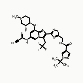 C#CC(=O)Nc1cc(N[C@@H]2CCN(C)C[C@@H]2F)c2nc(-c3noc(CNC(=O)c4cnn(C(C)(C)C)c4)n3)c(CC(F)(F)F)n2c1